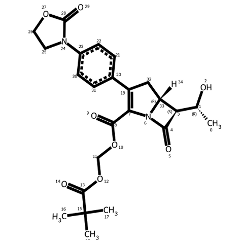 C[C@@H](O)[C@H]1C(=O)N2C(C(=O)OCOC(=O)C(C)(C)C)=C(c3ccc(N4CCOC4=O)cc3)C[C@H]12